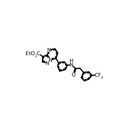 CCOC(=O)c1cnn2c(-c3cccc(NC(=O)Cc4cccc(C(F)(F)F)c4)c3)ccnc12